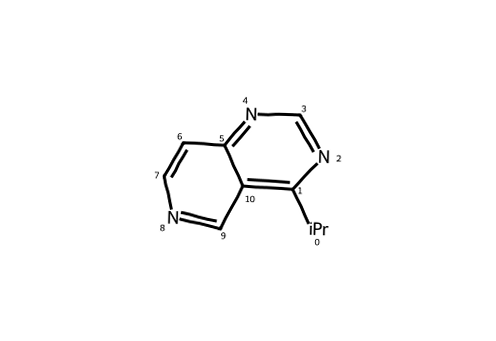 CC(C)c1ncnc2ccncc12